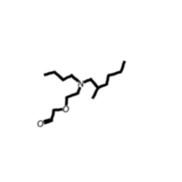 CCCCC(C)CN(CCCC)CCOCC=O